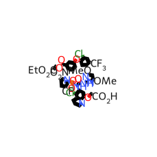 CCOC(=O)COC(=O)c1cc(Oc2ccc(C(F)(F)F)cc2Cl)ccc1[N+](=O)[O-].COc1cc(OC)nc(NC(=O)NS(=O)(=O)c2ncccc2C(F)(F)F)n1.O=C(O)COc1ccc(Cl)c2cccnc12